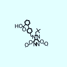 COCOc1nnc(OCOC)c2c1nc(CC(C)(C)C)n2Cc1ccc(-c2ccccc2C(=O)O)cc1